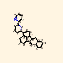 c1ccc(-c2cccc(-c3ccc4c5c(cccc35)-c3cc5ccccc5cc3-4)n2)nc1